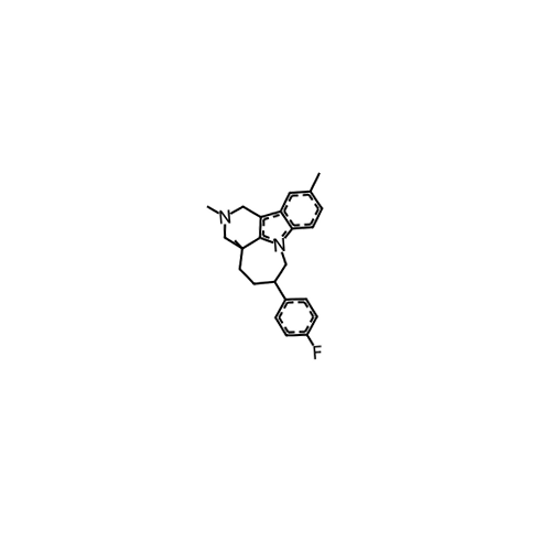 Cc1ccc2c(c1)c1c3n2CC(c2ccc(F)cc2)CCC3(C)CN(C)C1